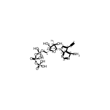 C#Cc1cn([C@@H]2O[C@H](COP(=O)(O)OP(=O)(O)OP(=O)(O)O)[C@@H](O)[C@@]2(C)O)c2ncnc(N)c12